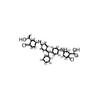 C=C(O)c1cc(N=C2C=CC(=C(c3ccccc3)c3ccc(Nc4ccc(Cl)c(C(=O)O)c4)cc3)C=C2)ccc1Cl